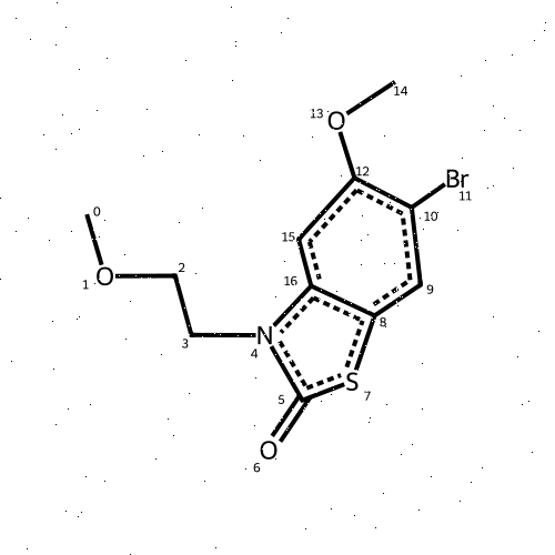 COCCn1c(=O)sc2cc(Br)c(OC)cc21